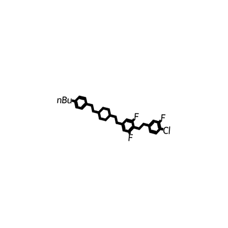 CCCCc1ccc(CCC2CCC(CCc3cc(F)c(CCc4ccc(Cl)c(F)c4)c(F)c3)CC2)cc1